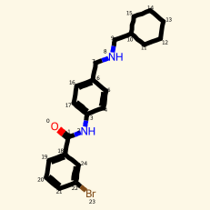 O=C(Nc1ccc(CNCC2CCCCC2)cc1)c1cccc(Br)c1